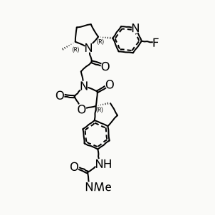 CNC(=O)Nc1ccc2c(c1)CC[C@@]21OC(=O)N(CC(=O)N2[C@H](C)CC[C@@H]2c2ccc(F)nc2)C1=O